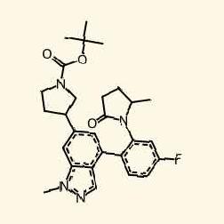 CC1CCC(=O)N1c1cc(F)ccc1-c1cc(C2CCN(C(=O)OC(C)(C)C)C2)cc2c1cnn2C